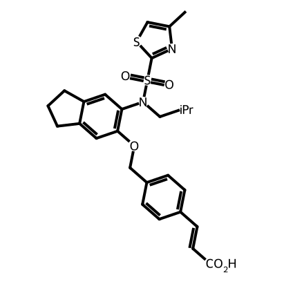 Cc1csc(S(=O)(=O)N(CC(C)C)c2cc3c(cc2OCc2ccc(C=CC(=O)O)cc2)CCC3)n1